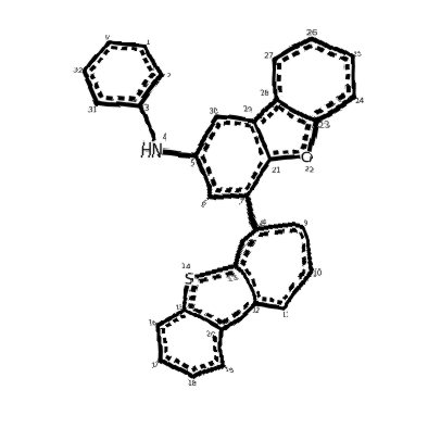 c1ccc(Nc2cc(-c3cccc4c3sc3ccccc34)c3oc4ccccc4c3c2)cc1